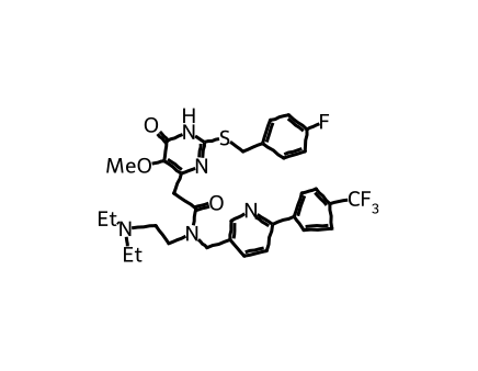 CCN(CC)CCN(Cc1ccc(-c2ccc(C(F)(F)F)cc2)nc1)C(=O)Cc1nc(SCc2ccc(F)cc2)[nH]c(=O)c1OC